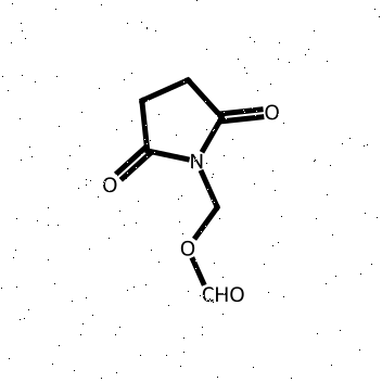 O=COCN1C(=O)CCC1=O